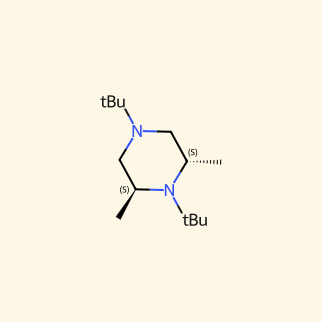 C[C@H]1CN(C(C)(C)C)C[C@H](C)N1C(C)(C)C